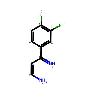 N=C(/C=C\N)c1ccc(F)c(F)c1